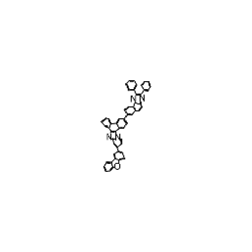 c1ccc(-c2nc3ccc4cc(-c5ccc6c(c5)c5ccccc5c5nc7cc(-c8ccc9oc%10ccccc%10c9c8)ccn7c65)ccc4c3nc2-c2ccccc2)cc1